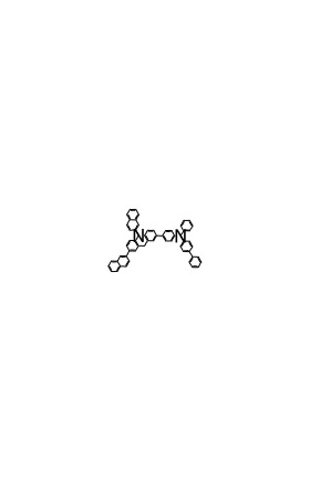 c1ccc(-c2ccc(N(c3ccccc3)c3ccc(-c4ccc5c(c4)Cc4cc(-c6ccc7ccccc7c6)ccc4N5c4ccc5ccccc5c4)cc3)cc2)cc1